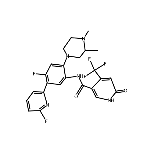 CC1CN(c2cc(F)c(-c3cccc(F)n3)cc2NC(=O)c2c[nH]c(=O)cc2C(F)(F)F)CCN1C